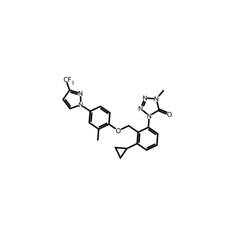 Cc1cc(-n2ccc(C(F)(F)F)n2)ccc1OCc1c(C2CC2)cccc1-n1nnn(C)c1=O